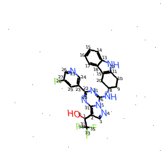 O[C@@H](c1cnn2c(N[C@@H]3CCc4[nH]c5ccccc5c4C3)nc(-c3cncc(F)c3)nc12)C(F)(F)F